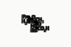 CC[C@H](C)[C@H](NC(=O)[C@H](C)NC(=O)[C@@H](N)CC(C)C)C(=O)O